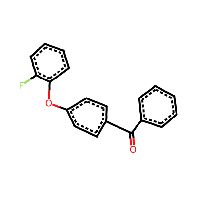 O=C(c1ccccc1)c1ccc(Oc2ccccc2F)cc1